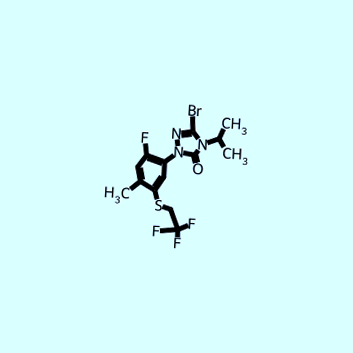 Cc1cc(F)c(-n2nc(Br)n(C(C)C)c2=O)cc1SCC(F)(F)F